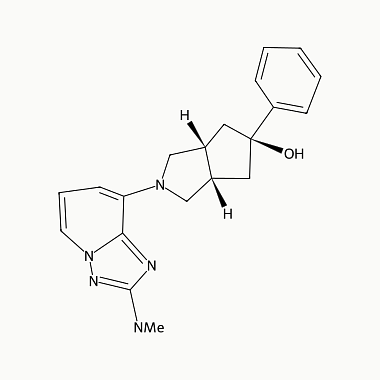 CNc1nc2c(N3C[C@@H]4C[C@](O)(c5ccccc5)C[C@@H]4C3)cccn2n1